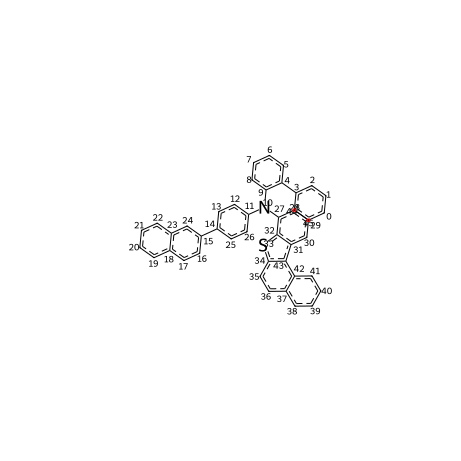 c1ccc(-c2ccccc2N(c2ccc(-c3ccc4ccccc4c3)cc2)c2cccc3c2sc2ccc4ccccc4c23)cc1